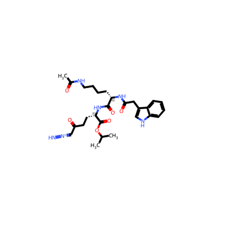 CC(=O)NCCCC[C@H](NC(=O)Cc1c[nH]c2ccccc12)C(=O)N[C@@H](CCC(=O)C=[N+]=N)C(=O)OC(C)C